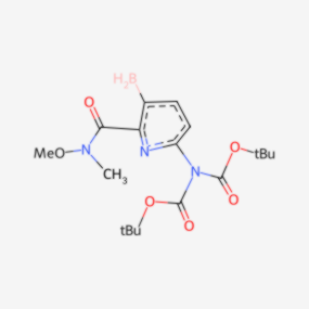 Bc1ccc(N(C(=O)OC(C)(C)C)C(=O)OC(C)(C)C)nc1C(=O)N(C)OC